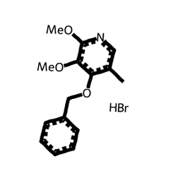 Br.COc1ncc(C)c(OCc2ccccc2)c1OC